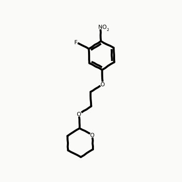 O=[N+]([O-])c1ccc(OCCOC2CCCCO2)cc1F